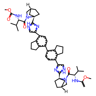 C=C(N[C@H](C(=O)N1C[C@@H]2CC[C@@]1(c1nc(-c3ccc(-c4ccc(-c5c[nH]c([C@@]67CC[C@@H](CN6C(=O)[C@@H](NC(=O)OC)C(C)C)C7)n5)c5c4CCC5)c4c3CCC4)c[nH]1)C2)C(C)C)OC